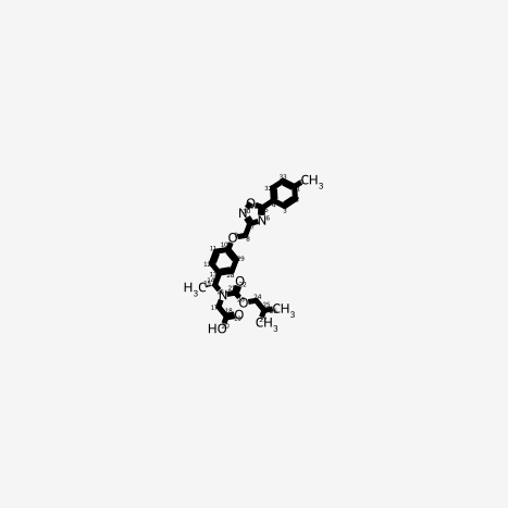 Cc1ccc(-c2nc(COc3ccc([C@@H](C)N(CC(=O)O)C(=O)OCC(C)C)cc3)no2)cc1